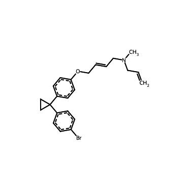 C=CCN(C)CC=CCOc1ccc(C2(c3ccc(Br)cc3)CC2)cc1